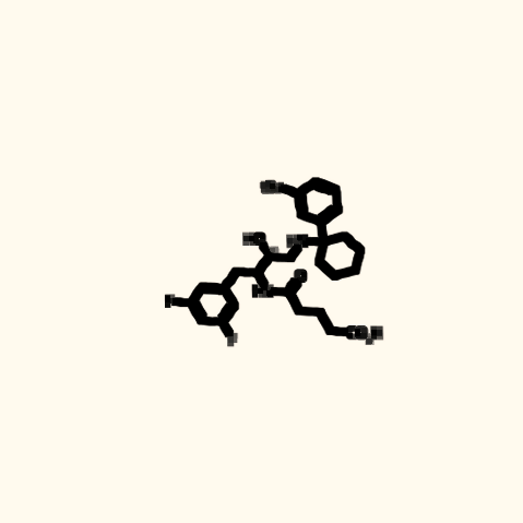 CC(C)(C)c1cccc(C2(NC[C@H](O)C(Cc3cc(F)cc(F)c3)NC(=O)CCCC(=O)O)CCCCC2)c1